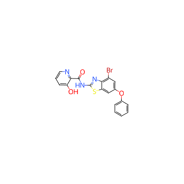 O=C(Nc1nc2c(Br)cc(Oc3ccccc3)cc2s1)c1ncccc1O